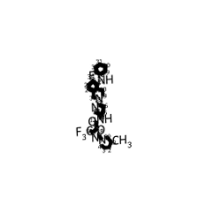 CC1CCCN(c2nc(C(F)(F)F)c(C(=O)Nc3ccc(N4CCc5c(cccc5Nc5ccccc5F)C4)nc3)o2)C1